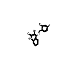 O=c1[nH]c2ccccc2c(OCc2ccc(F)cc2F)c1Br